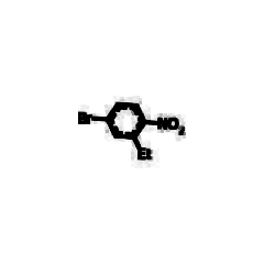 CCc1cc(Br)ccc1[N+](=O)[O-]